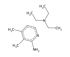 CCN(CC)CC.Cc1ccnc(N)c1C